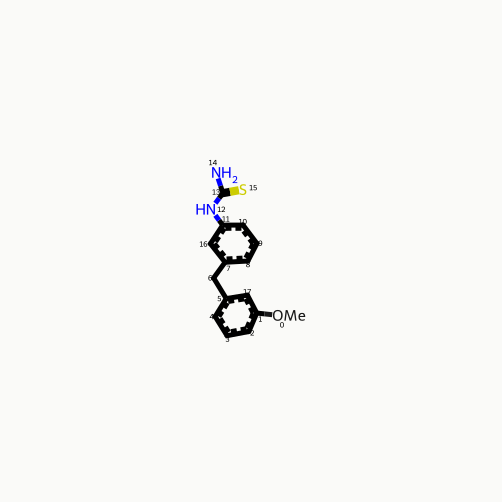 COc1cccc(Cc2cccc(NC(N)=S)c2)c1